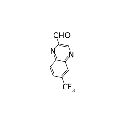 O=Cc1cnc2cc(C(F)(F)F)ccc2n1